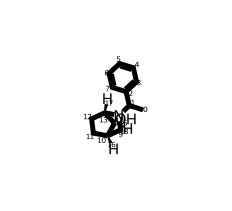 CC(c1ccccc1)N1C[C@@H]2CC[C@H]1[C@H]2O